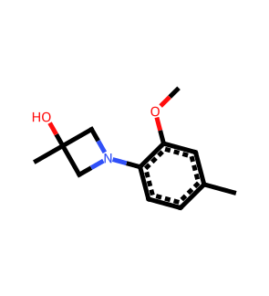 COc1cc(C)ccc1N1CC(C)(O)C1